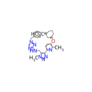 Cc1nc(-c2nnn(C)c2CNc2ncn(Cc3ccccc3)n2)ccc1O[C@H]1CCC[C@H](C(=O)O)C1